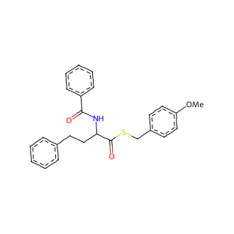 COc1ccc(CSC(=O)C(CCc2ccccc2)NC(=O)c2ccccc2)cc1